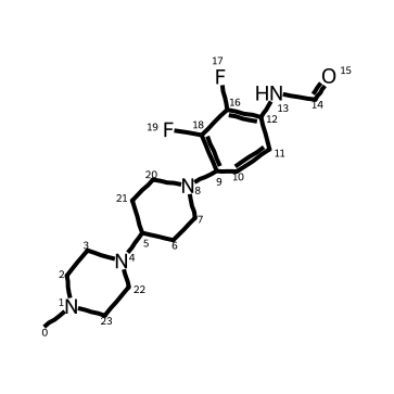 CN1CCN(C2CCN(c3ccc(NC=O)c(F)c3F)CC2)CC1